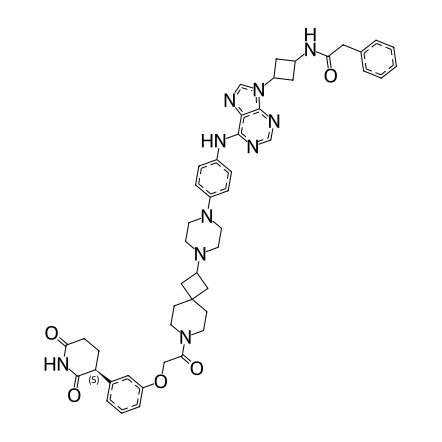 O=C1CC[C@@H](c2cccc(OCC(=O)N3CCC4(CC3)CC(N3CCN(c5ccc(Nc6ncnc7c6ncn7C6CC(NC(=O)Cc7ccccc7)C6)cc5)CC3)C4)c2)C(=O)N1